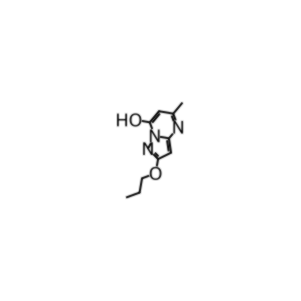 CCCOc1cc2nc(C)cc(O)n2n1